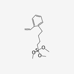 C=Cc1ccccc1CCCC[Si](OC)(OC)OC